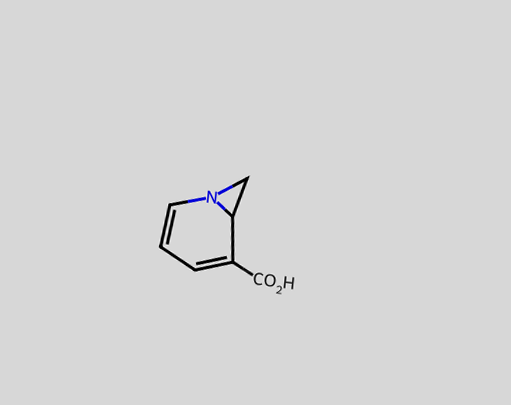 O=C(O)C1=CC=CN2CC12